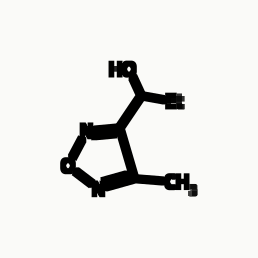 CCC(O)c1nonc1C